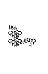 CCCCN1CCCCC1C(=O)Nc1c(C)cccc1C.CCCCN1CCCC[C@H]1C(=O)Nc1c(C)cccc1C.CCN(CC)CC(=O)Nc1c(C)cccc1C.Cl.O